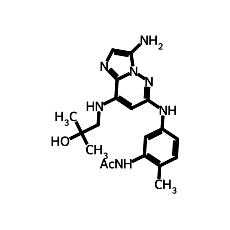 CC(=O)Nc1cc(Nc2cc(NCC(C)(C)O)c3ncc(N)n3n2)ccc1C